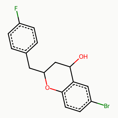 OC1CC(Cc2ccc(F)cc2)Oc2ccc(Br)cc21